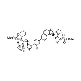 COC(=O)N[C@H](C(=O)N1CCC[C@H]1c1nc2ccc3cc(-c4ccc(-c5cnc([C@@H]6[C@H]7CC[C@H](C7)N6C(=O)[C@@H](NC(=O)OC)C6CCOCC6)[nH]5)c(F)c4)ccc3c2[nH]1)C(C)C